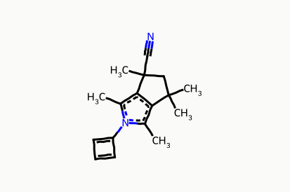 Cc1c2c(c(C)n1C1=CC=C1)C(C)(C#N)CC2(C)C